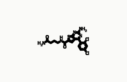 NC(=O)CCCNC(=O)c1cc2c(-c3ccc(Cl)cc3Cl)nc(N)nc2s1